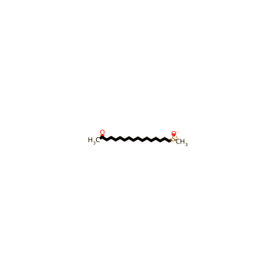 CC(=O)CCCCCCCCCCCCCCC[S+](C)[O-]